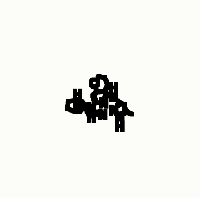 Cc1cc(Nc2nc(N[C@@H]3CC4CC[C@@H](C3)N4CCC#N)cc3c2CCCO3)n[nH]1